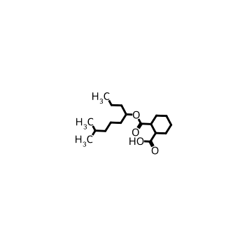 CCCC(CCCC(C)C)OC(=O)C1CCCCC1C(=O)O